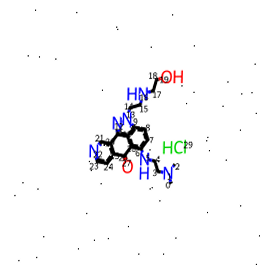 CN(C)CCNc1ccc2c3c(nn2CCNCCO)-c2cnccc2C(=O)c13.Cl